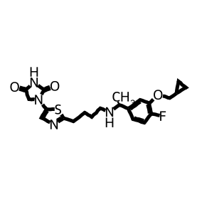 C[C@@H](NCCCCc1ncc(N2CC(=O)NC2=O)s1)c1ccc(F)c(OCC2CC2)c1